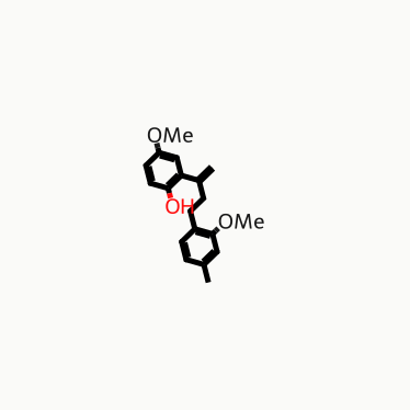 C=C(CCc1ccc(C)cc1OC)c1cc(OC)ccc1O